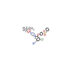 CC(C)(C)OC(=O)N1CCN([C@H]2Cc3c(C#N)cc(Cl)cc3[C@@H]2Oc2ccc(S(=O)(=O)Cc3ccccc3)cc2)CC1